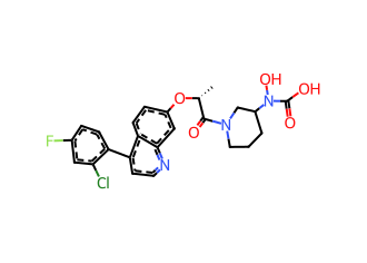 C[C@@H](Oc1ccc2c(-c3ccc(F)cc3Cl)ccnc2c1)C(=O)N1CCCC(N(O)C(=O)O)C1